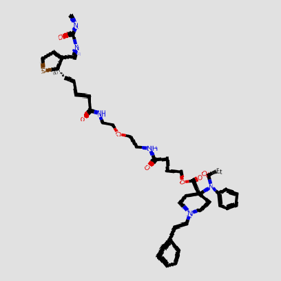 C=NC(=O)/N=C\C1CCS[C@H]1CCCCC(=O)NCCOCCNC(=O)CCCOC(=O)C1(N(C(=O)CC)c2ccccc2)CCN(CCc2ccccc2)CC1